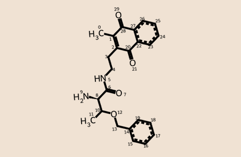 CC1=C(CCNC(=O)[C@H](N)C(C)OCc2ccccc2)C(=O)c2ccccc2C1=O